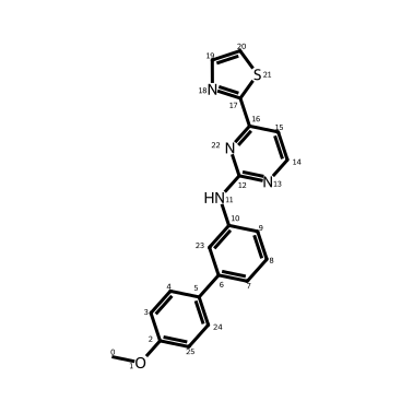 COc1ccc(-c2cccc(Nc3nccc(-c4nccs4)n3)c2)cc1